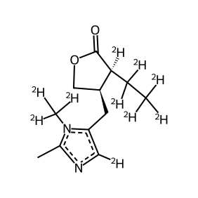 [2H]c1nc(C)n(C([2H])([2H])[2H])c1C[C@H]1COC(=O)[C@@]1([2H])C([2H])([2H])C([2H])([2H])[2H]